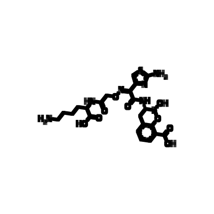 NCCCCC(NC(=O)CO/N=C(\C(=O)N[C@H]1Cc2cccc(C(=O)O)c2OB1O)c1csc(N)n1)C(=O)O